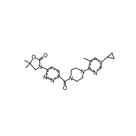 Cc1cc(C2CC2)cnc1N1CCN(C(=O)c2ccc(N3CC(C)(C)OC3=O)nn2)CC1